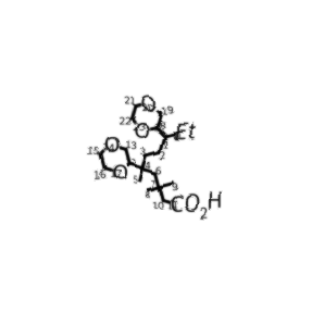 CCC(CCC(C)(CC(C)(C)CC(=O)O)C1COCCO1)C1COCCO1